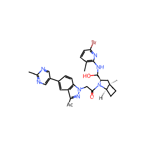 CC(=O)c1nn(CC(=O)N2[C@@H](C(O)Nc3nc(Br)ccc3C)C[C@@]3(C)CC[C@@H]23)c2ccc(-c3cnc(C)nc3)cc12